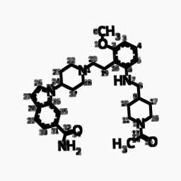 COc1cccc(NCC2CCN(C(C)=O)CC2)c1CCN1CCC(n2ccc3ccc(C(N)=O)cc32)CC1